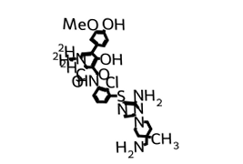 [2H]C([2H])([2H])N1C=C(c2ccc(O)c(OC)c2)C(O)=C(C(=O)Nc2cccc(Sc3ncc(N4CCC(C)(CN)CC4)nc3N)c2Cl)C1=C=O